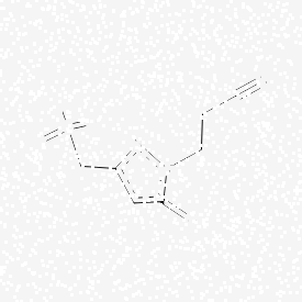 N#CCCn1[nH]c(CS(=O)(=O)O)cc1=O